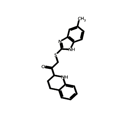 Cc1ccc2[nH]c(SCC(=O)C3CCc4ccccc4N3)nc2c1